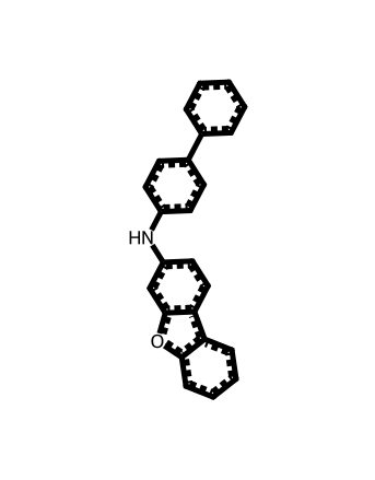 c1ccc(-c2ccc(Nc3ccc4c(c3)oc3ccccc34)cc2)cc1